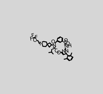 Cc1cccc(C)c1-c1cc2nc(n1)NS(=O)(=O)c1cccc(c1)C(=O)N(C1CC3(CCN(CCOC(F)(F)F)CC3)C1)[C@H](CC(C)C)CO2